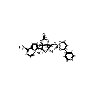 N#C[C@@]1(c2ccc3c(N)ncnn23)O[C@@H]2C(O[P@@]3(=O)OCC[C@@H](c4ccncc4)O3)[C@@]23OC(=O)O[C@H]31